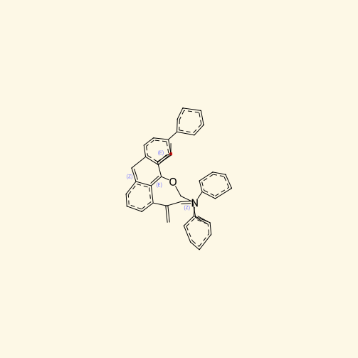 C=C/C=C\C(=C)c1cccc(=C/c2ccc(-c3ccccc3)cc2)/c1=C(\C=C\C)OCN(c1ccccc1)c1ccccc1